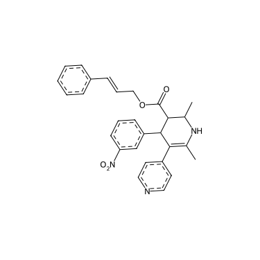 CC1=C(c2ccncc2)C(c2cccc([N+](=O)[O-])c2)C(C(=O)OCC=Cc2ccccc2)C(C)N1